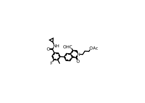 CC(=O)OCCCn1cc(C=O)c2cc(-c3cc(C(=O)NC4CC4)cc(F)c3C)ccc2c1=O